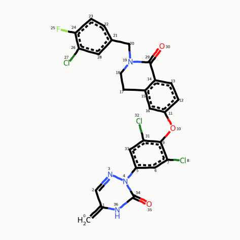 C=C1C=NN(c2cc(Cl)c(Oc3ccc4c(c3)CCN(Cc3ccc(F)c(Cl)c3)C4=O)c(Cl)c2)C(=O)N1